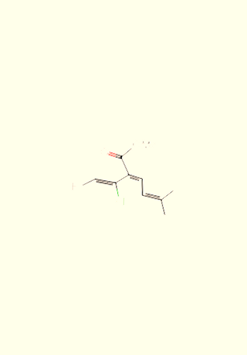 CC/C=C(Cl)/C(=C\C=C(C)C)C(=O)OC